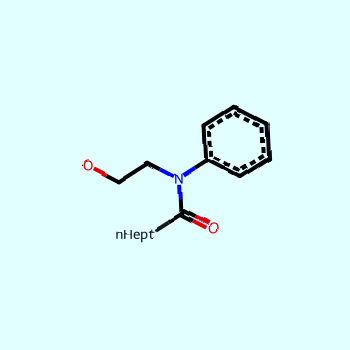 CCCCCCCC(=O)N(CC[O])c1ccccc1